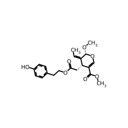 C/C=C1\[C@H](OC)OC=C(C(=O)OC)[C@@H]1CC(=O)OCCc1ccc(O)cc1